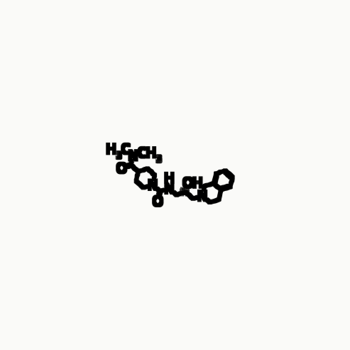 CN(C)C(=O)C1CCN(C(=O)NC[C@H](O)CN2CCc3ccccc3C2)CC1